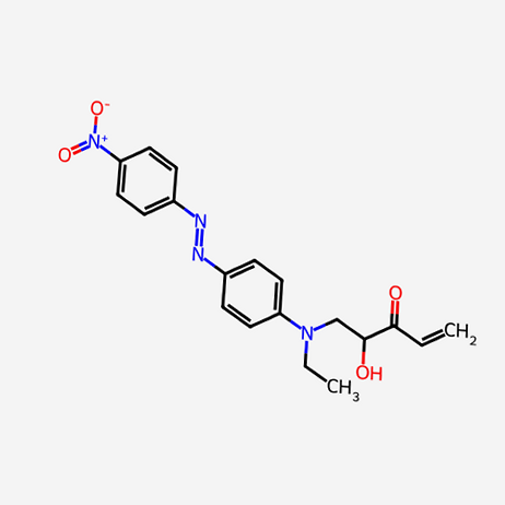 C=CC(=O)C(O)CN(CC)c1ccc(N=Nc2ccc([N+](=O)[O-])cc2)cc1